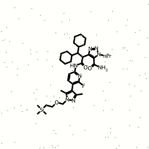 CCCn1nnc(C(C(=O)Nc2ccc(-c3c(C)nn(COCC[Si](C)(C)C)c3C)c(F)n2)C(C2CCCCC2)C2CCCCC2)c1C(N)=O